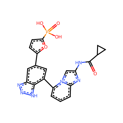 O=C(Nc1cn2c(-c3cc(-c4ccc(P(=O)(O)O)o4)cc4nn[nH]c34)cccc2n1)C1CC1